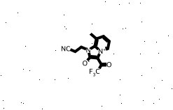 Cc1ccc[n+]2c(C(=O)C(F)(F)F)c([O-])n(CCC#N)c12